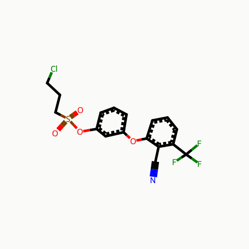 N#Cc1c(Oc2cccc(OS(=O)(=O)CCCCl)c2)cccc1C(F)(F)F